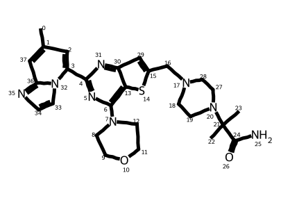 Cc1cc(-c2nc(N3CCOCC3)c3sc(CN4CCN(C(C)(C)C(N)=O)CC4)cc3n2)n2ccnc2c1